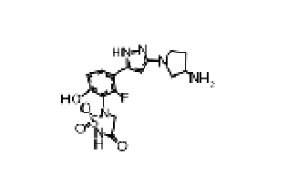 NC1CCN(c2cc(-c3ccc(O)c(N4CC(=O)NS4(=O)=O)c3F)[nH]n2)C1